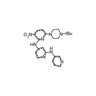 CC(C)(C)N1CCN(c2ccc([N+](=O)[O-])c(Nc3ccnc(Nc4cccnc4)c3)n2)CC1